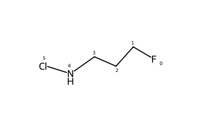 FCCCNCl